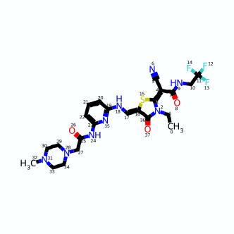 CCn1c(=C(C#N)C(=O)NCC(F)(F)F)sc(=CNc2cccc(NC(=O)CN3CCN(C)CC3)n2)c1=O